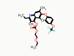 CCOCCOC(=O)Oc1c(C)c(CC)nc2cc(C)c(Oc3ccc(OC(F)(F)F)cc3)c(C)c12